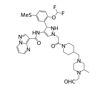 CSc1ccc(OC(F)F)c(C2NN(CC(=O)N3CCC(CN4CCN(CC=O)C(C)C4)CC3)C=C2NC(=O)c2cnn3cccnc23)c1